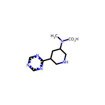 CN(C(=O)O)C1CNCC(c2ncncn2)C1